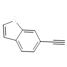 C#Cc1ccc2c[c][nH]c2c1